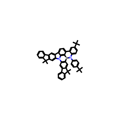 CC(C)(C)c1ccc(N2B3c4cc5c(cc4-n4c6cc7c(cc6c6ccc(c3c64)-c3cc(C(C)(C)C)ccc32)-c2ccccc2C7(C)C)-c2ccccc2C5(C)C)cc1